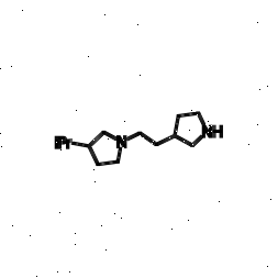 CC(C)C1CCN(CCC2CCNC2)C1